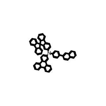 c1ccc2c(c1)-c1ccccc1C21c2ccccc2-c2ccc(N(c3ccc(-c4ccc5ccccc5c4)cc3)c3ccc4c5ccccc5c5ccccc5c4c3)cc21